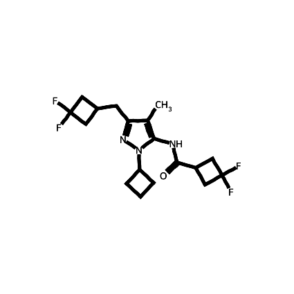 Cc1c(CC2CC(F)(F)C2)nn(C2CCC2)c1NC(=O)C1CC(F)(F)C1